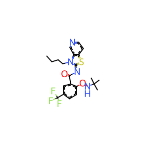 CCCCn1c(=NC(=O)c2cc(C(F)(F)F)ccc2ONC(C)(C)C)sc2ccncc21